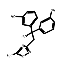 Cc1nc(CC(N)(c2cccc(O)c2)c2cccc(O)c2)no1